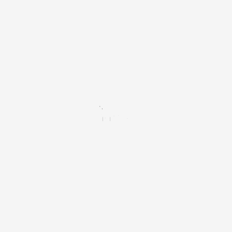 B.[Cr].[Ni].[Pd]